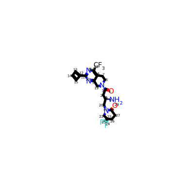 N[C@H](CC(=O)N1CCc2c(nc(C3=CC=C3)nc2C(F)(F)F)C1)CN1CC(F)(F)CCC1=O